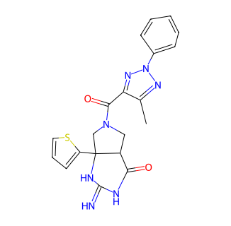 Cc1nn(-c2ccccc2)nc1C(=O)N1CC2C(=O)NC(=N)NC2(c2cccs2)C1